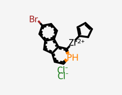 Brc1ccc2c3[c]([Zr+2][C]4=CC=CC4)[pH]ccc-3cc2c1.[Cl-].[Cl-]